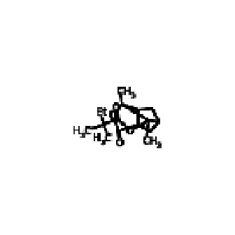 CCC(C)(C)C(=O)OC1(C)C2CC3C(=O)OC1(C)C3C2